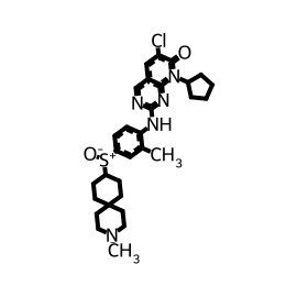 Cc1cc([S+]([O-])C2CCC3(CC2)CCN(C)CC3)ccc1Nc1ncc2cc(Cl)c(=O)n(C3CCCC3)c2n1